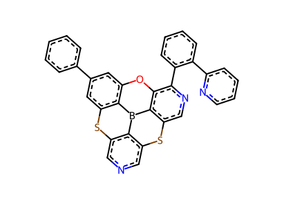 c1ccc(-c2cc3c4c(c2)Sc2cncc5c2B4c2c(cnc(-c4ccccc4-c4ccccn4)c2O3)S5)cc1